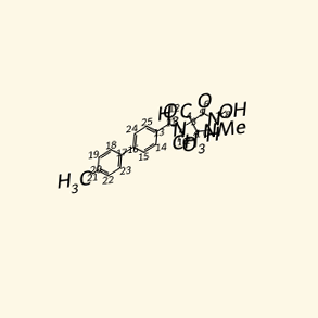 CNC(=O)C(C)(C(=O)NO)N(C)C(=O)c1ccc(-c2ccc(C)cc2)cc1